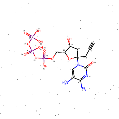 C#CC[C@]1(n2cc(N)c(N)nc2=O)C[C@H](O)[C@@H](COP(=O)(O)OP(=O)(O)OP(=O)(O)O)O1